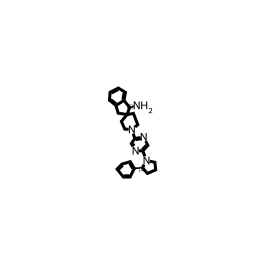 N[C@@H]1c2ccccc2CC12CCN(c1cnc(N3CCC[C@H]3c3ccccc3)cn1)CC2